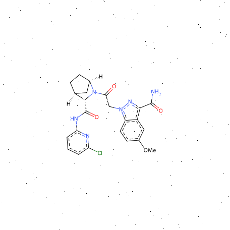 COc1ccc2c(c1)c(C(N)=O)nn2CC(=O)N1[C@@H]2CC[C@@H](C2)[C@H]1C(=O)Nc1cccc(Cl)n1